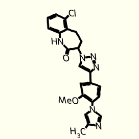 COc1cc(-c2cn(C3CCc4c(Cl)cccc4NC3=O)nn2)ccc1-n1cnc(C)c1